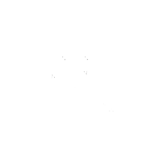 COC(=O)Oc1cn2ncnc(Nc3ccc(C)c(C)c3)c2c1C